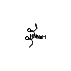 C=CC(=O)NC(=O)C=C.[NaH]